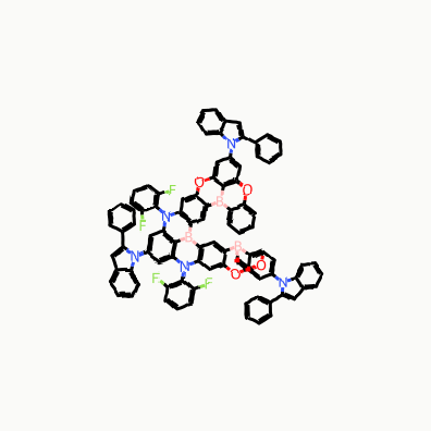 Fc1cccc(F)c1N1c2cc3c(cc2B2c4cc5c(cc4N(c4c(F)cccc4F)c4cc(-n6c(-c7ccccc7)cc7ccccc76)cc1c42)Oc1cc(-n2c(-c4ccccc4)cc4ccccc42)cc2c1B5c1ccccc1O2)B1c2ccccc2Oc2cc(-n4c(-c5ccccc5)cc5ccccc54)cc(c21)O3